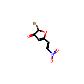 O=C1C=C(C=C[N+](=O)[O-])OC1Br